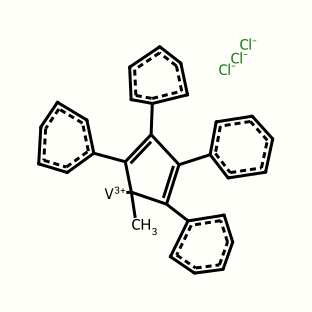 C[C]1([V+3])C(c2ccccc2)=C(c2ccccc2)C(c2ccccc2)=C1c1ccccc1.[Cl-].[Cl-].[Cl-]